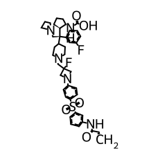 C=CC(=O)Nc1cccc(S(=O)(=O)c2ccc(N3CC(F)(CN4CCC([C@@](CN5CCC5)(c5cccc(F)c5)[C@H]5CCC[C@@H]5NC(=O)O)CC4)C3)cc2)c1